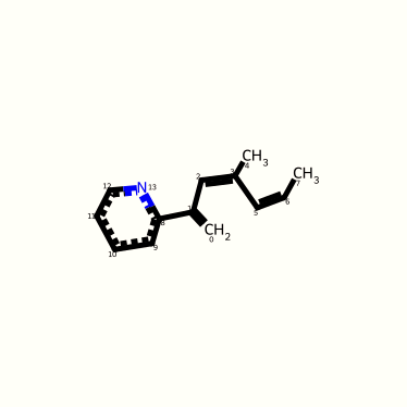 C=C(/C=C(C)\C=C/C)c1ccccn1